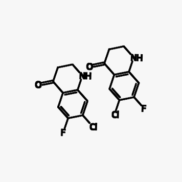 O=C1CCNc2cc(Cl)c(F)cc21.O=C1CCNc2cc(F)c(Cl)cc21